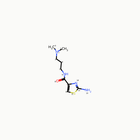 CN(C)CCCNC(=O)c1csc(N)n1